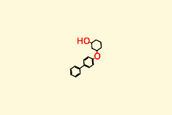 OC1CCCC(Oc2ccc(-c3ccccc3)cc2)C1